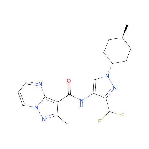 Cc1nn2cccnc2c1C(=O)Nc1cn([C@H]2CC[C@H](C)CC2)nc1C(F)F